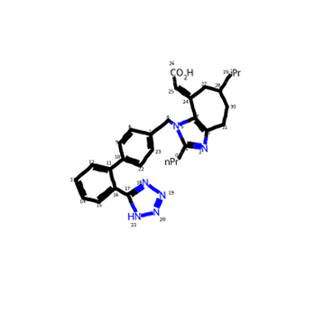 CCCc1nc2c(n1Cc1ccc(-c3ccccc3-c3nnn[nH]3)cc1)C(=CC(=O)O)CC(C(C)C)CC2